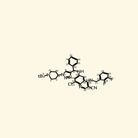 CC(C)(C)N1CCC(n2cc(C(Nc3cc(Cl)c4ncc(C#N)c(NCc5cccc(F)c5F)c4c3)c3ccccc3)nn2)CC1